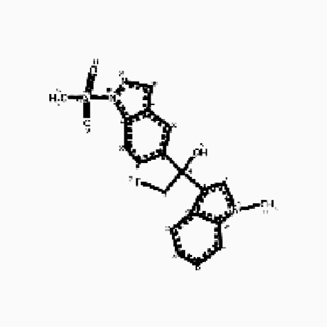 Cn1cc(C(O)(CF)c2ccc3c(cnn3S(C)(=O)=O)c2)c2ccccc21